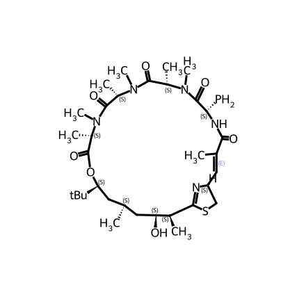 C/C1=C\[C@H]2CSC(=N2)[C@@H](C)[C@@H](O)C[C@H](C)C[C@@H](C(C)(C)C)OC(=O)[C@H](C)N(C)C(=O)[C@H](C)N(C)C(=O)[C@H](C)N(C)C(=O)[C@H](P)NC1=O